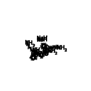 NCCCCCC(N)OP(=O)(OC(=O)c1cccc(C(=O)OP(=O)(OC(N)CCCCCN)c2ccccc2)c1)c1ccccc1.[NaH].[NaH]